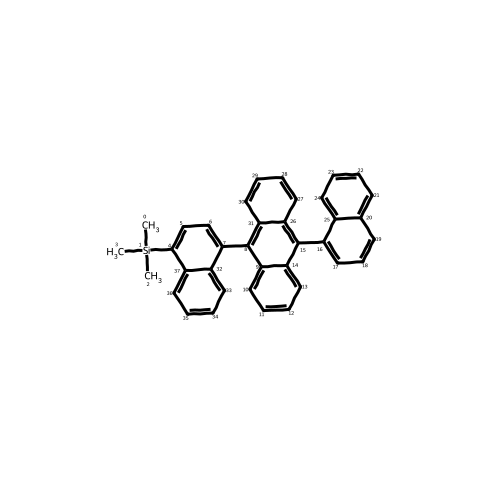 C[Si](C)(C)c1ccc(-c2c3ccccc3c(-c3cccc4ccccc34)c3ccccc23)c2ccccc12